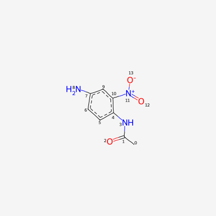 CC(=O)Nc1ccc(N)cc1[N+](=O)[O-]